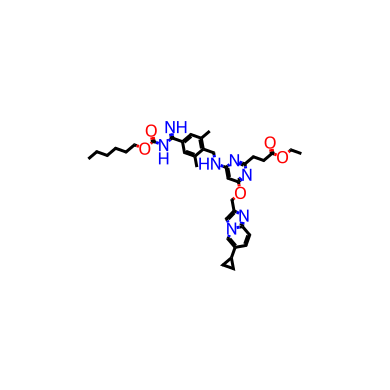 CCCCCCOC(=O)NC(=N)c1cc(C)c(CNc2cc(OCc3cn4cc(C5CC5)ccc4n3)nc(CCC(=O)OCC)n2)c(C)c1